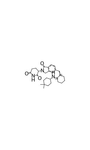 CC1(C)CCC(N[C@H]2CCCC[C@@H]2Cc2ccc3c(c2)CN(C2CCC(=O)NC2=O)C3=O)CC1